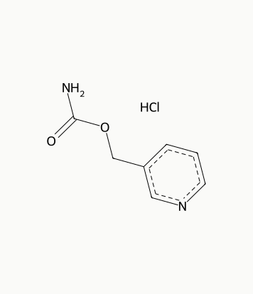 Cl.NC(=O)OCc1cccnc1